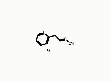 ON=CCC1=CC=CC=[N+]1.[Cl-]